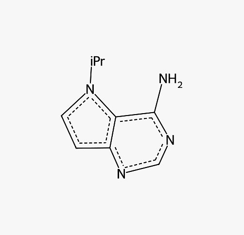 CC(C)n1ccc2ncnc(N)c21